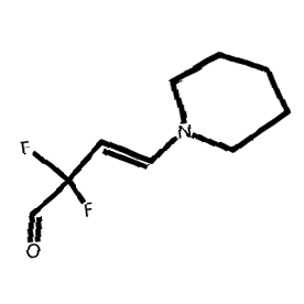 O=CC(F)(F)C=CN1CCCCC1